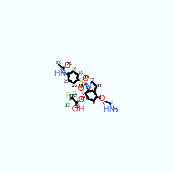 CNCCOc1cccc2c1ccn2S(=O)(=O)c1ccc(NC(C)=O)cc1.O=C(O)C(F)(F)F